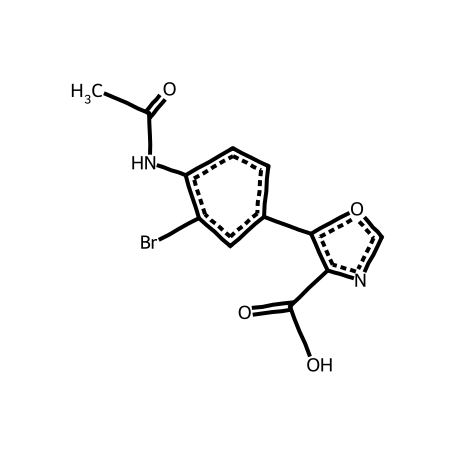 CC(=O)Nc1ccc(-c2ocnc2C(=O)O)cc1Br